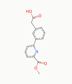 COC(=O)c1cccc(-c2cccc(CC(=O)O)c2)n1